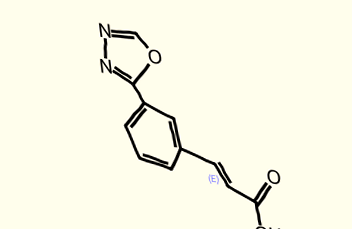 O=C(O)/C=C/c1cccc(-c2nnco2)c1